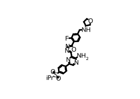 CC(C)S(=O)(=O)c1ccc(-c2cnc(N)c(-c3nnc(-c4ccc(CN[C@@H]5CCOC5)cc4F)o3)n2)cc1